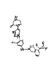 O=C(Cc1cccc(C(F)(F)F)c1F)Nc1cnc(-n2cnc(N3CCNCC3=O)c2)c(F)c1